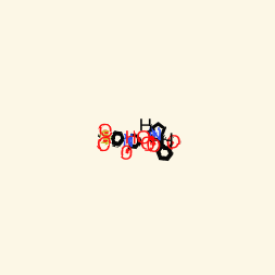 COc1ccccc1C1[C@H](Oc2ccn(-c3ccc(S(C)(=O)=O)cc3)c(=O)c2)C[C@H]2CC[C@@H]1N2C(=O)O